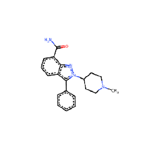 CN1CCC(n2nc3c(C(N)=O)cccc3c2-c2ccccc2)CC1